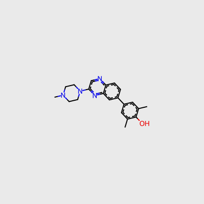 Cc1cc(-c2ccc3ncc(N4CCN(C)CC4)nc3c2)cc(C)c1O